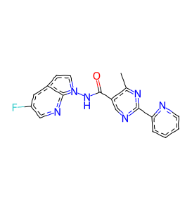 Cc1nc(-c2ccccn2)ncc1C(=O)Nn1ccc2cc(F)cnc21